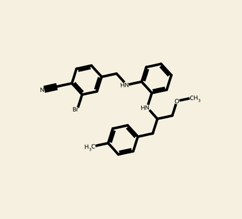 COCC(Cc1ccc(C)cc1)Nc1ccccc1NCc1ccc(C#N)c(Br)c1